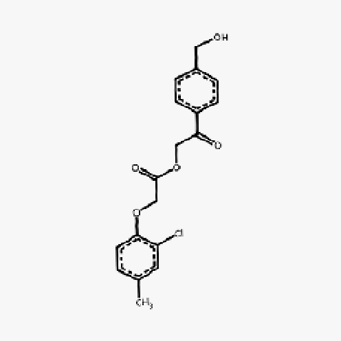 Cc1ccc(OCC(=O)OCC(=O)c2ccc(CO)cc2)c(Cl)c1